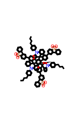 CCCCc1ccc(N2c3ccccc3C3(c4cc(-c5ccc6c(c5)-c5ccccc5S6(=O)=O)ccc4-c4c3c3c(c5c4C4(c6cc(-c7ccc8c(c7)-c7ccccc7S8(=O)=O)ccc6-5)c5ccccc5N(c5ccc(CCCC)cc5)c5ccccc54)C4(c5cc(-c6ccc7c(c6)-c6ccccc6S7(=O)=O)ccc5-3)c3ccccc3N(c3ccc(CCCC)cc3)c3ccccc34)c3ccccc32)cc1